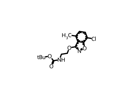 Cc1ccc(Cl)c2onc(OCCNC(=O)OC(C)(C)C)c12